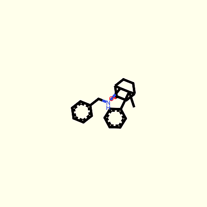 CC1(c2ccccc2)C2CCC(C(=O)C2)C1NCc1ccccc1